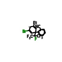 CCC1=CC(c2ccccc2C#N)(C(F)(C(F)(F)F)C(F)(F)F)C=C(Br)[CH]1